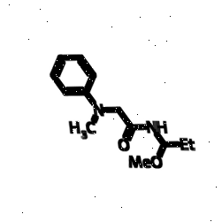 CCC(NC(=O)CN(C)c1ccccc1)OC